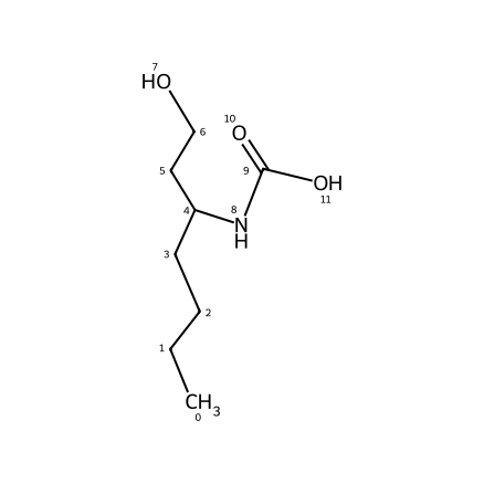 CCCCC(CCO)NC(=O)O